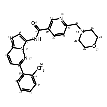 O=C(Nc1cnc2ccc(-c3ccccc3C(F)(F)F)nn12)c1ccc(CN2CCOCC2)nc1